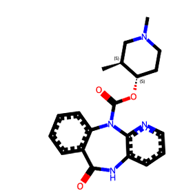 C[C@H]1CN(C)CC[C@@H]1OC(=O)N1c2ccccc2C(=O)Nc2cccnc21